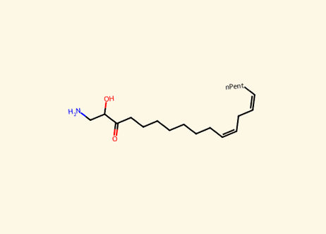 CCCCC/C=C\C/C=C\CCCCCCCC(=O)C(O)CN